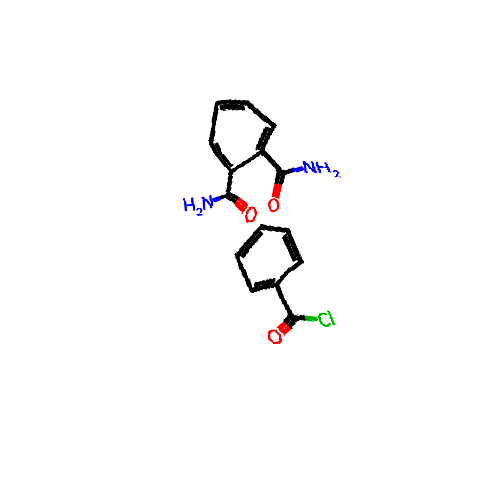 NC(=O)c1ccccc1C(N)=O.O=C(Cl)c1ccccc1